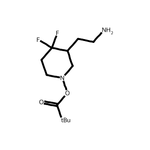 CC(C)(C)C(=O)ON1CCC(F)(F)C(CCN)C1